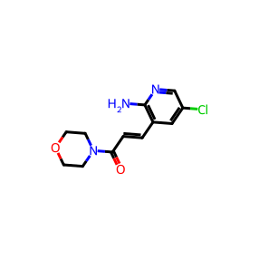 Nc1ncc(Cl)cc1/C=C/C(=O)N1CCOCC1